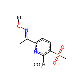 CCO/N=C(\C)c1ccc(S(C)(=O)=O)c(C(=O)O)n1